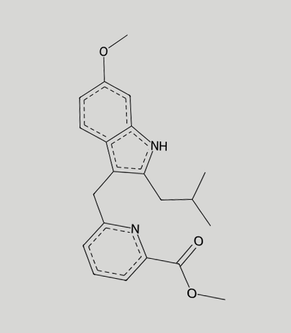 COC(=O)c1cccc(Cc2c(CC(C)C)[nH]c3cc(OC)ccc23)n1